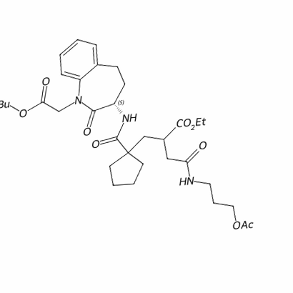 CCOC(=O)C(CC(=O)NCCCOC(C)=O)CC1(C(=O)N[C@H]2CCc3ccccc3N(CC(=O)OC(C)(C)C)C2=O)CCCC1